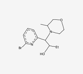 CCC(O)C(c1cccc(Br)n1)N1CCOCC1C